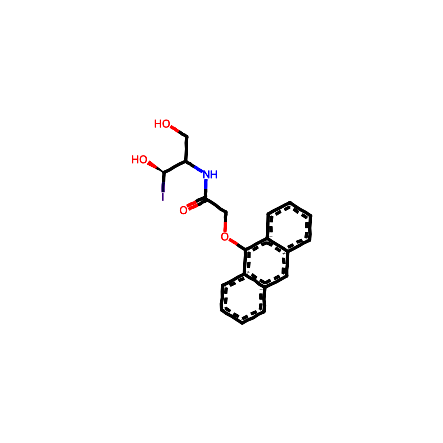 O=C(COc1c2ccccc2cc2ccccc12)NC(CO)[C@H](O)I